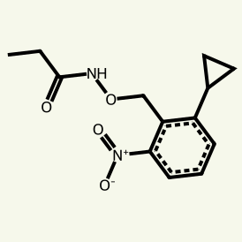 CCC(=O)NOCc1c(C2CC2)cccc1[N+](=O)[O-]